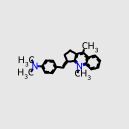 Cc1c2c([n+](C)c3ccccc13)C(=Cc1ccc(N(C)C)cc1)CC2